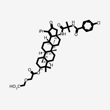 CC(C)C1=C2[C@H]3CC[C@@H]4[C@@]5(C)CC[C@H](OC(=O)COCC(=O)O)C(C)(C)[C@@H]5CC[C@@]4(C)[C@]3(C)CC[C@@]2(NC(=O)C(C)(C)NC(=O)c2ccc(Cl)cc2)CC1=O